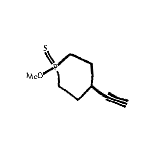 C#CC1CCP(=S)(OC)CC1